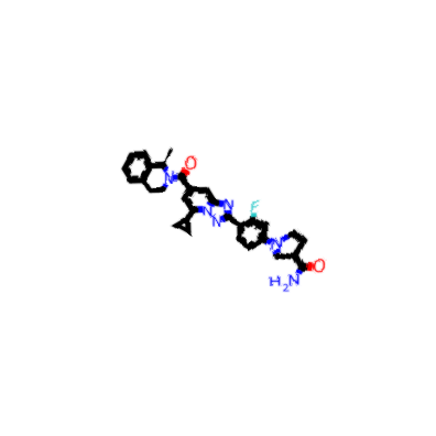 C[C@@H]1c2ccccc2CCN1C(=O)c1cc(C2CC2)n2nc(-c3ccc(N4CCC(C(N)=O)C4)cc3F)nc2c1